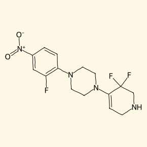 O=[N+]([O-])c1ccc(N2CCN(C3=CCNCC3(F)F)CC2)c(F)c1